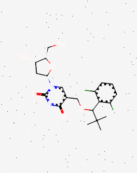 CC(C)(C)C(OCc1cn([C@H]2C[C@H](O)[C@@H](CO)O2)c(=O)[nH]c1=O)c1c(Cl)cccc1Cl